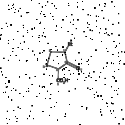 CCC1CSC(C(=O)O)C1=O